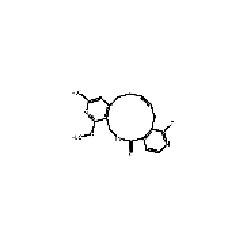 COc1nc(C)cc2c1CNC(=O)c1ccnc(Cl)c1C/C=C\CC2